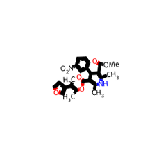 COC(=O)C1=C(C)NC(C)=C(C(=O)OC(C)=C(C)c2ccoc2)C1c1cccc([N+](=O)[O-])c1